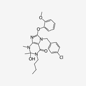 CCCCN1C(=O)c2c(nc(Oc3ccccc3OC)n2Cc2ccc(Cl)cc2)N(C)C1(C)O